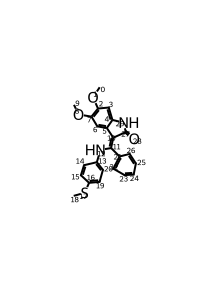 COc1cc2c(cc1OC)C(=C(Nc1ccc(SC)cc1)c1ccccc1)C(=O)N2